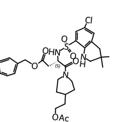 CC(=O)OCCC1CCN(C(=O)[C@H](CC(=O)OCc2ccccc2)NS(=O)(=O)c2cc(Cl)cc3c2NCC(C)(C)C3)CC1